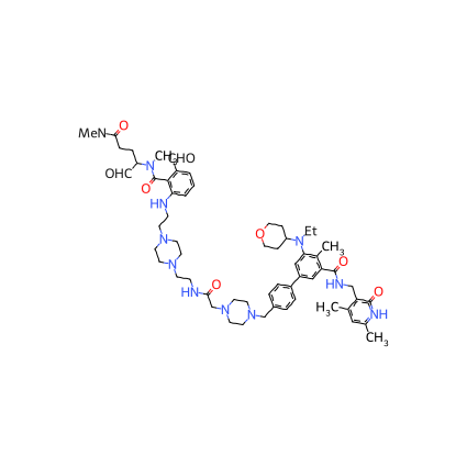 CCN(c1cc(-c2ccc(CN3CCN(CC(=O)NCCN4CCN(CCNc5cccc(C=O)c5C(=O)N(C)C(C=O)CCC(=O)NC)CC4)CC3)cc2)cc(C(=O)NCc2c(C)cc(C)[nH]c2=O)c1C)C1CCOCC1